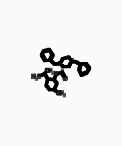 CC1CCC(C(C)C)C(OC(=O)[C@H]2CN(Cc3ccccc3)CCN2Cc2ccccc2)C1